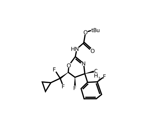 CC(C)(C)OC(=O)NC1=N[C@](C)(c2ccccc2F)[C@@H](F)[C@@H](C(F)(F)C2CC2)O1